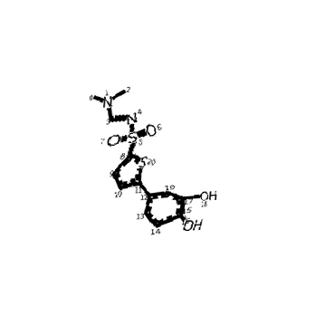 CN(C)C=NS(=O)(=O)c1ccc(-c2ccc(O)c(O)c2)s1